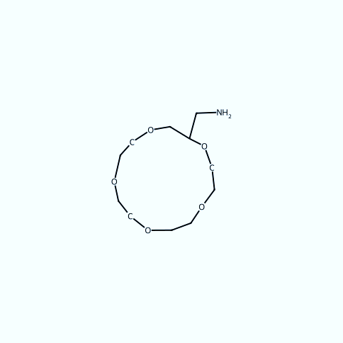 NCC1COCCOCCOCCOCCO1